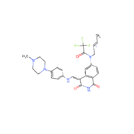 C/C=C/CN(C(=O)C(F)(F)F)c1ccc2c(c1)C(=CNc1ccc(N3CCN(C)CC3)cc1)C(=O)NC2=O